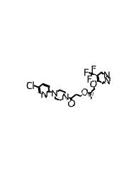 C[C@H](COc1cnncc1C(F)(F)F)OCCC(=O)N1CCN(c2ccc(Cl)cn2)CC1